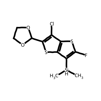 C[SiH](C)c1c(F)sc2c(Cl)c(C3OCCO3)sc12